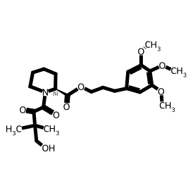 COc1cc(CCCOC(=O)[C@@H]2CCCCN2C(=O)C(=O)C(C)(C)CO)cc(OC)c1OC